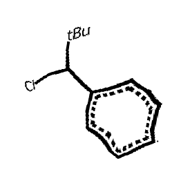 CC(C)(C)C(Cl)c1cc[c]cc1